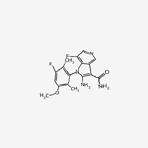 COc1cc(F)c(C)c(-n2c(N)c(C(N)=O)c3cncc(F)c32)c1C